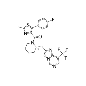 Cc1nc(C(=O)N2CCCC[C@H]2Cc2cn3cncc(C(F)(F)F)c3n2)c(-c2ccc(F)cc2)s1